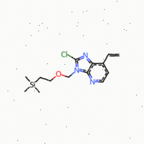 C=Cc1ccnc2c1nc(Cl)n2COCC[Si](C)(C)C